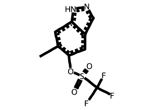 Cc1cc2[nH]ncc2cc1OS(=O)(=O)C(F)(F)F